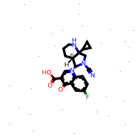 N#CN1CC2(C3CC3)NCCC[C@H]2C1n1cc(C(=O)O)c(=O)c2cc(F)ccc21